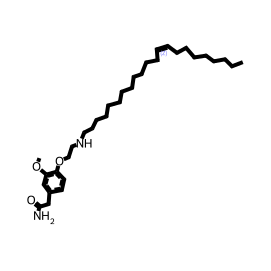 CCCCCCCC/C=C\CCCCCCCCCCCCNCCOc1ccc(CC(N)=O)cc1OC